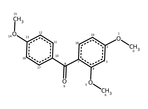 COc1[c]c(OC)c(C(=O)c2ccc(OC)cc2)cc1